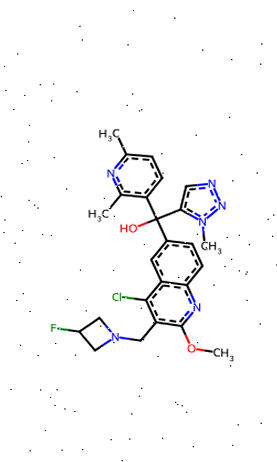 COc1nc2ccc(C(O)(c3ccc(C)nc3C)c3cnnn3C)cc2c(Cl)c1CN1CC(F)C1